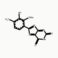 COc1c(C2=NC3=NC(=O)NC(=O)C3=N2)ccc(C)c1S